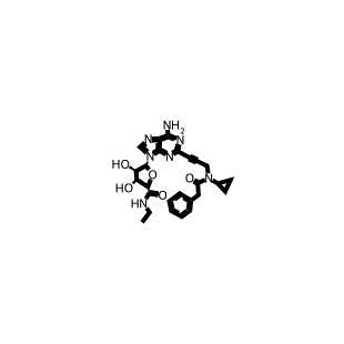 CCNC(=O)[C@H]1O[C@@H](n2cnc3c(N)nc(C#CCN(C(=O)Cc4ccccc4)C4CC4)nc32)[C@H](O)[C@@H]1O